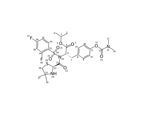 CC(C)OC(=O)[C@H](Cc1ccc(OC(=O)N(C)C)cc1)N(C(=O)[C@H]1NC(C)(C)CS1)S(=O)(=O)c1ccc(F)cc1F